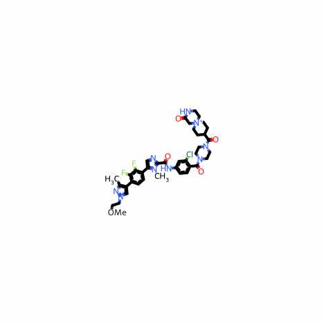 COCCn1cc(-c2ccc(-c3cnc(C(=O)Nc4ccc(C(=O)N5CCN(C(=O)C6CC[N+]7(CCNC(=O)C7)CC6)CC5)c(Cl)c4)n3C)c(F)c2F)c(C)n1